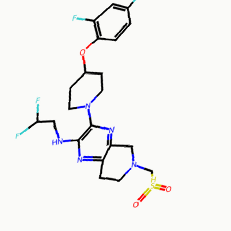 O=[SH](=O)CN1CCc2nc(NCC(F)F)c(N3CCC(Oc4ccc(F)cc4F)CC3)nc2C1